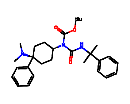 CN(C)[C@]1(c2ccccc2)CC[C@@H](N(C(=O)NC(C)(C)c2ccccc2)C(=O)OC(C)(C)C)CC1